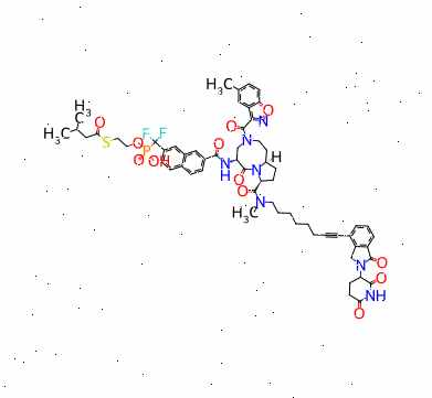 Cc1ccc2onc(C(=O)N3CC[C@H]4CC[C@@H](C(=O)N(C)CCCCCCC#Cc5cccc6c5CN(C5CCC(=O)NC5=O)C6=O)N4C(=O)[C@@H](NC(=O)c4ccc5ccc(C(F)(F)P(=O)(O)OCCSC(=O)CC(C)C)cc5c4)C3)c2c1